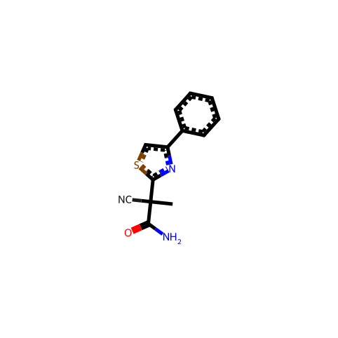 CC(C#N)(C(N)=O)c1nc(-c2ccccc2)cs1